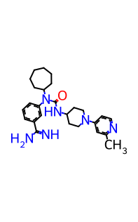 Cc1cc(N2CCC(NC(=O)N(c3cccc(C(=N)N)c3)C3CCCCCC3)CC2)ccn1